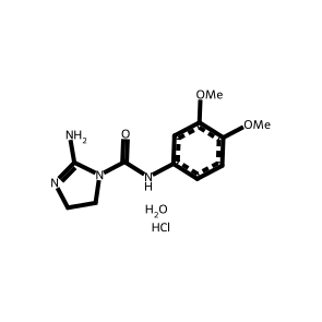 COc1ccc(NC(=O)N2CCN=C2N)cc1OC.Cl.O